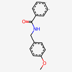 COc1ccc(CNC(=O)c2c[c][c]cc2)cc1